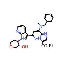 CCOC(=O)c1cnc2c(N(C)Cc3ccccc3)cc(-c3cn(C4CCOC[C@H]4O)c4ncccc34)nn12